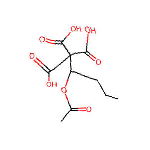 CCCC(OC(C)=O)C(C(=O)O)(C(=O)O)C(=O)O